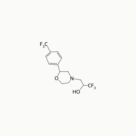 OC(CN1CCOC(c2ccc(C(F)(F)F)cc2)C1)C(F)(F)F